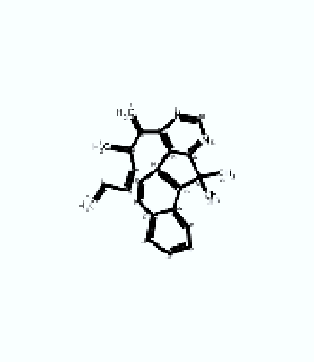 C=C/C=C\C(=C)C(=C)c1ncnc2c1-c1ccc3ccccc3c1C2(C)C